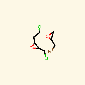 BrCC1CO1.ClCCC1OC1CCl